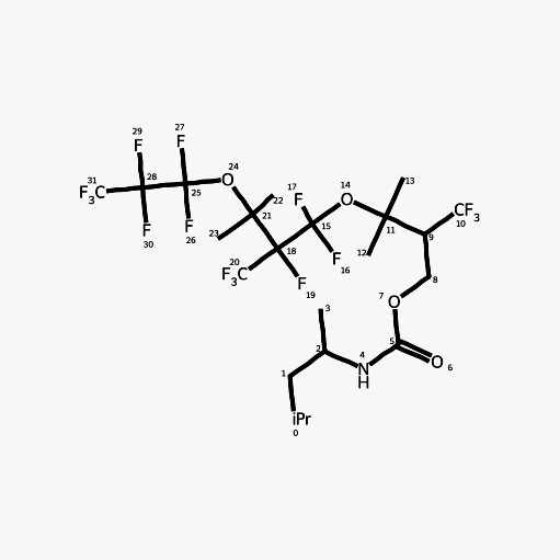 CC(C)CC(C)NC(=O)OCC(C(F)(F)F)C(C)(C)OC(F)(F)C(F)(C(F)(F)F)C(C)(C)OC(F)(F)C(F)(F)C(F)(F)F